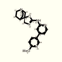 COc1ccc(-c2ccnc(NC3=NC[C@@]4(CN5CCC4CC5)O3)c2)cn1